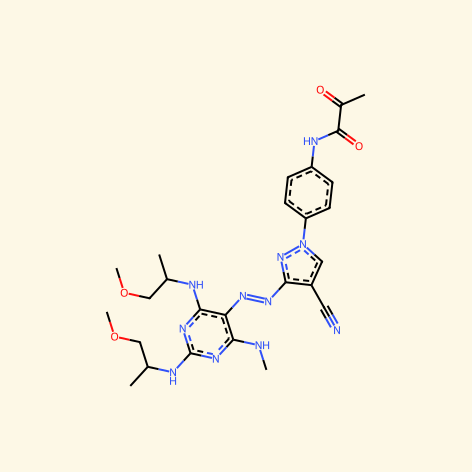 CNc1nc(NC(C)COC)nc(NC(C)COC)c1N=Nc1nn(-c2ccc(NC(=O)C(C)=O)cc2)cc1C#N